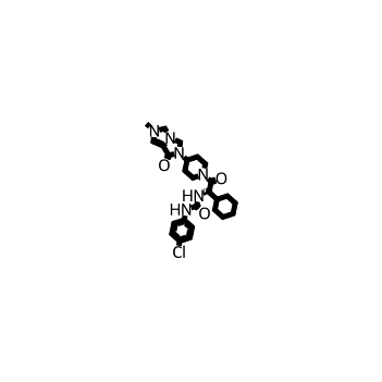 CN1C=C2C(=O)N(C3CCN(C(=O)[C@H](NC(=O)Nc4ccc(Cl)cc4)C4CCCCC4)CC3)CN2C1